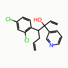 C=CCC(c1ccc(Cl)cc1Cl)C(O)(C=C)c1cccnc1